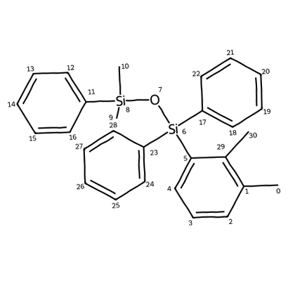 Cc1cccc([Si](O[Si](C)(C)c2ccccc2)(c2ccccc2)c2ccccc2)c1C